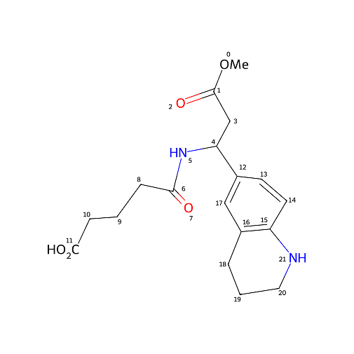 COC(=O)CC(NC(=O)CCCC(=O)O)c1ccc2c(c1)CCCN2